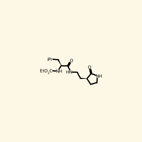 CCOC(=O)N[C@@H](CC(C)C)C(=O)NCC[C@@H]1CCNC1=O